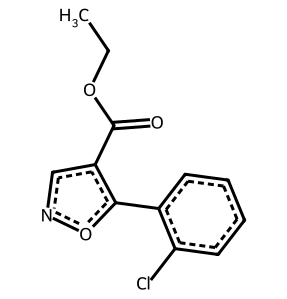 CCOC(=O)c1cnoc1-c1ccccc1Cl